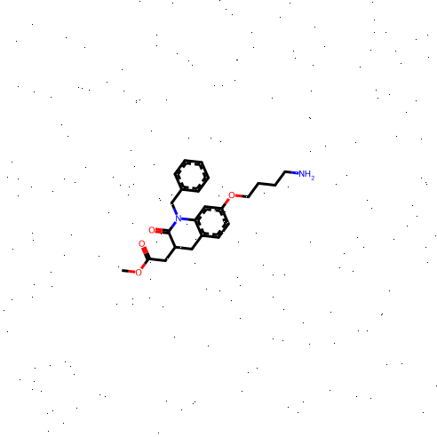 COC(=O)CC1Cc2ccc(OCCCCN)cc2N(Cc2ccccc2)C1=O